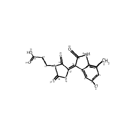 Cc1cc(Cl)cc2c1NC(=O)C2=C1SC(=S)N(CCC(=O)O)C1=O